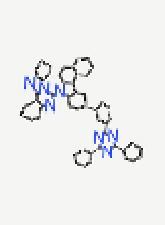 c1ccc(-c2nc(-c3ccccc3)nc(-c3cccc(-c4ccc5c(c4)c4c6ccccc6ccc4n5-c4nc5ccccc5c5nc6ccccc6n45)c3)n2)cc1